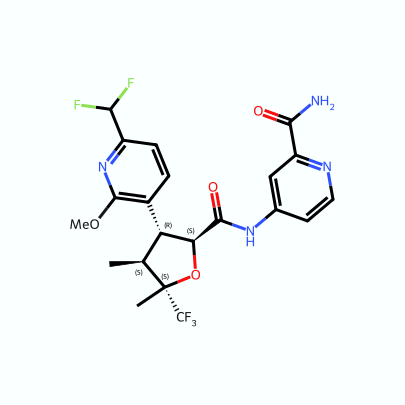 COc1nc(C(F)F)ccc1[C@@H]1[C@@H](C(=O)Nc2ccnc(C(N)=O)c2)O[C@](C)(C(F)(F)F)[C@H]1C